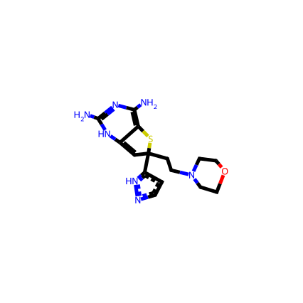 NC1=NC(N)=C2SC(CCN3CCOCC3)(c3ccn[nH]3)C=C2N1